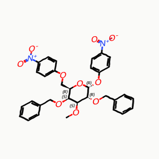 CO[C@H]1[C@@H](OCc2ccccc2)[C@@H](COc2ccc([N+](=O)[O-])cc2)O[C@H](Oc2ccc([N+](=O)[O-])cc2)[C@@H]1OCc1ccccc1